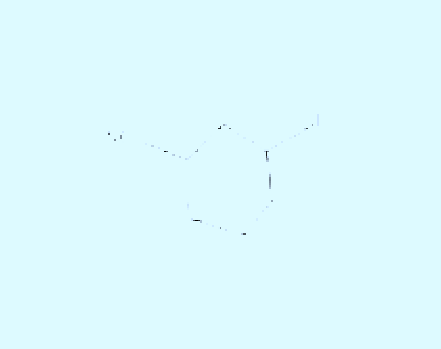 CCC1CCCC(C#N)C1